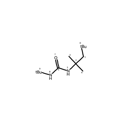 CC(C)(C)CC(C)(C)NC(=O)NC(C)(C)C